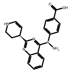 NN(c1ccc(C(=O)O)cc1)c1nc([C@@H]2C=CNCC2)nc2ccccc12